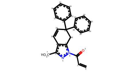 C=CC(=O)n1nc(C(=O)O)c2c1CC(c1ccccc1)(c1ccccc1)C=C2